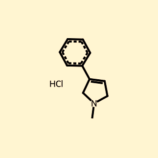 CN1CC=C(c2ccccc2)C1.Cl